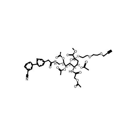 C#CCOCCOCCO[C@]1(C(=O)OC)C[C@H](OC(C)=O)[C@@H](NC(=O)COC(C)=O)[C@H]([C@H](OC(C)=O)[C@@H](CNC(=O)Cc2ccc(-c3cccc(C#N)c3)cc2)OC(C)=O)O1